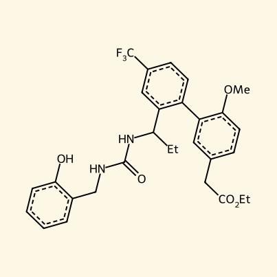 CCOC(=O)Cc1ccc(OC)c(-c2ccc(C(F)(F)F)cc2C(CC)NC(=O)NCc2ccccc2O)c1